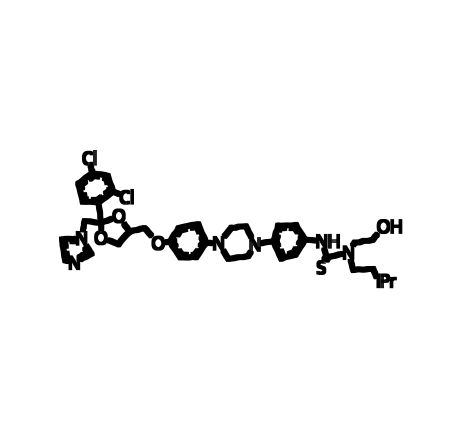 CC(C)CCN(CCO)C(=S)Nc1ccc(N2CCN(c3ccc(OCC4COC(Cn5ccnc5)(c5ccc(Cl)cc5Cl)O4)cc3)CC2)cc1